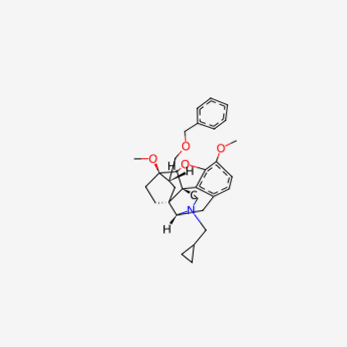 COc1ccc2c3c1O[C@H]1[C@@]4(OC)CC[C@@]5(C[C@H]4COCc4ccccc4)[C@@H](C2)N(CC2CC2)CC[C@]315